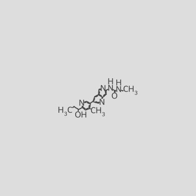 CCNC(=O)Nc1cc2ncc(-c3cnc(C(O)CC)cc3C)cc2cn1